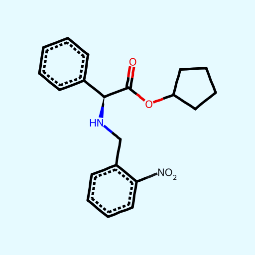 O=C(OC1CCCC1)[C@@H](NCc1ccccc1[N+](=O)[O-])c1ccccc1